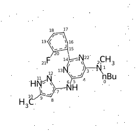 CCCCN(C)c1cc(Nc2cc(C)[nH]n2)nc(-c2ccccc2F)n1